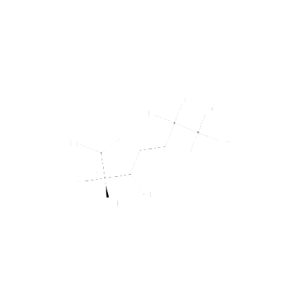 CCC(CC)[C@@](C)(F)C(C)CCC(F)(C(C)C)C(C)(CC)CC